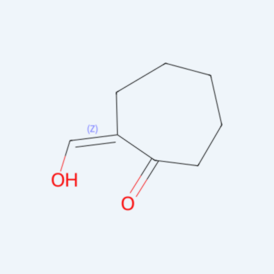 O=C1CCCCC/C1=C/O